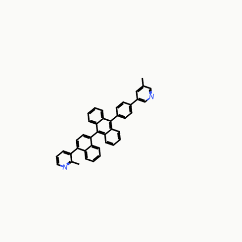 Cc1cncc(-c2ccc(-c3c4ccccc4c(-c4ccc(-c5cccnc5C)c5ccccc45)c4ccccc34)cc2)c1